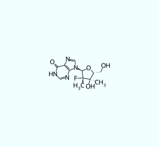 C[C@@]1(O)[C@@H](CO)O[C@H](n2cnc3c(=O)[nH]cnc32)[C@@]1(C)F